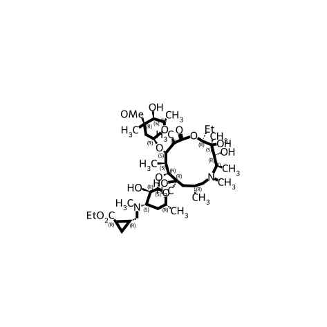 CCOC(=O)[C@@H]1C[C@H]1CN(C)[C@H]1C[C@@H](C)O[C@@H](O[C@@H]2[C@@H](C)[C@H](O[C@H]3C[C@@](C)(OC)[C@@H](O)[C@H](C)O3)[C@@H](C)C(=O)O[C@H](CC)[C@@](C)(O)[C@H](O)[C@@H](C)N(C)C[C@H](C)C[C@@]2(C)O)[C@@H]1O